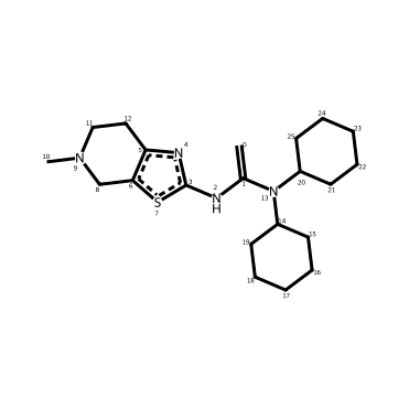 C=C(Nc1nc2c(s1)CN(C)CC2)N(C1CCCCC1)C1CCCCC1